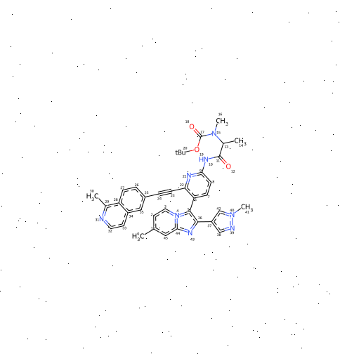 Cc1ccn2c(-c3ccc(NC(=O)C(C)N(C)C(=O)OC(C)(C)C)nc3C#Cc3ccc4c(C)nccc4c3)c(-c3cnn(C)c3)nc2c1